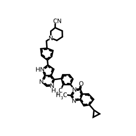 Cc1c(-c2ncnc3[nH]c(-c4ccc(CN5CCCC(C#N)C5)cc4)cc23)cccc1-n1c(C)nc2cc(C3CC3)ccc2c1=O